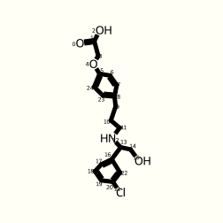 O=C(O)COc1ccc(CCCNC(CO)c2cccc(Cl)c2)cc1